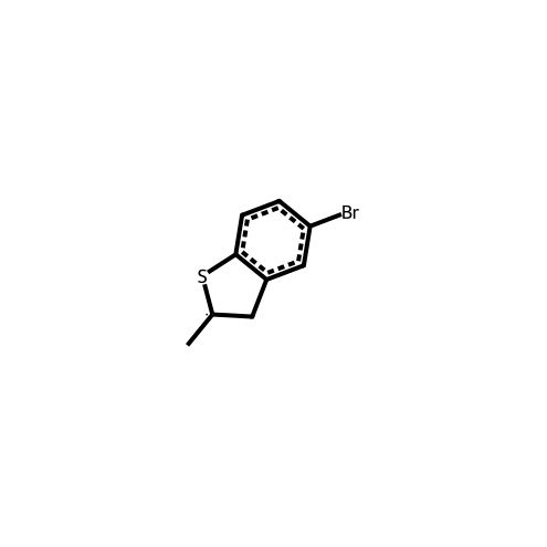 C[C]1Cc2cc(Br)ccc2S1